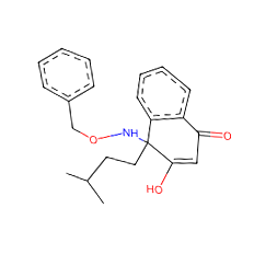 CC(C)CCC1(NOCc2ccccc2)C(O)=CC(=O)c2ccccc21